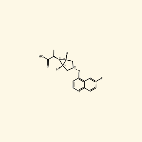 CC(C(=O)O)[C@H]1[C@@H]2C[C@H](Oc3ccnc4ccc(F)cc34)C[C@@H]21